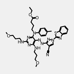 CCOC(=O)CCCN(c1ccc(C)cc1)c1nc(NCCCOC)nc(NCCCOC)c1N=Nc1nn(-c2nc3ccccc3s2)cc1C#N